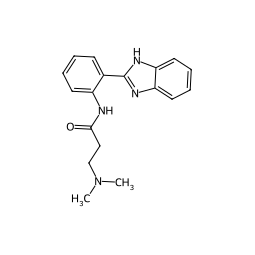 CN(C)CCC(=O)Nc1ccccc1-c1nc2ccccc2[nH]1